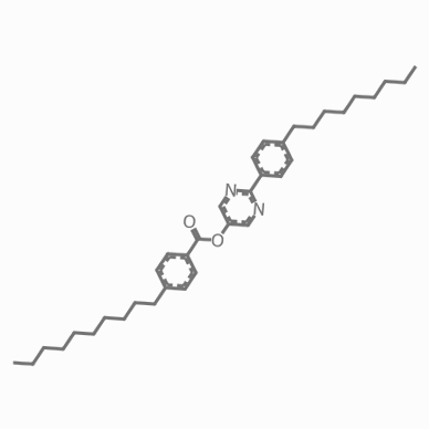 CCCCCCCCCCc1ccc(C(=O)Oc2cnc(-c3ccc(CCCCCCCCC)cc3)nc2)cc1